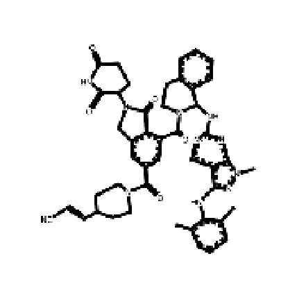 Cc1cccc(C)c1Nc1nn(C)c2nc(NC3c4ccccc4CCN3C(=O)c3cc(C(=O)N4CCC(C=CC#N)CC4)cc4c3C(=O)N(C3CCC(=O)NC3=O)C4)ncc12